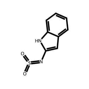 O=S(=O)=Nc1cc2ccccc2[nH]1